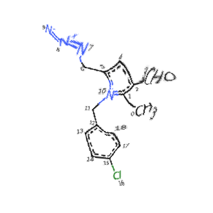 Cc1c(C=O)cc(CN=[N+]=[N-])n1Cc1ccc(Cl)cc1